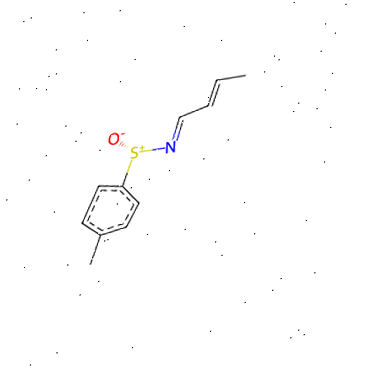 C/C=C/C=N/[S@@+]([O-])c1ccc(C)cc1